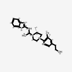 C[C@@H]1CN(c2ncc(CCO)cc2C(F)(F)F)CCN1C(O)Nc1nc2ccccc2s1